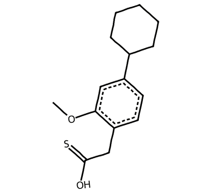 COc1cc(C2CCCCC2)ccc1CC(O)=S